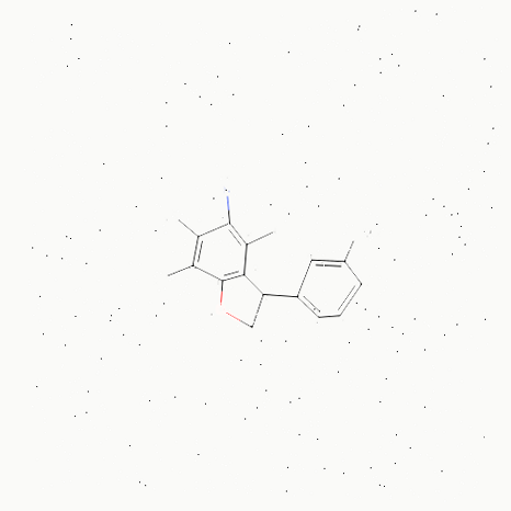 COc1cccc(C2COc3c(C)c(C)c(N)c(C)c32)c1